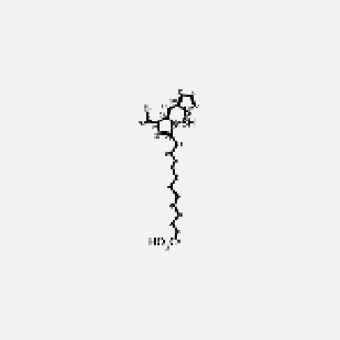 O=C(O)CCCCCCCCCCCC1=CC(C(F)F)C2=Cc3cccn3BN12